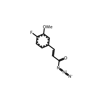 COc1cc(C=CC(=O)N=[N+]=[N-])ccc1F